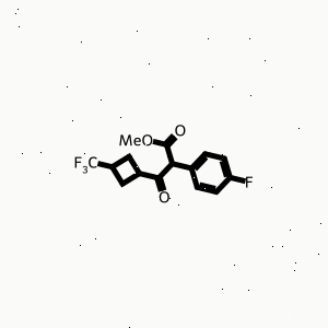 COC(=O)C(C(=O)C1CC(C(F)(F)F)C1)c1ccc(F)cc1